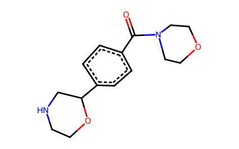 O=C(c1ccc(C2CNCCO2)cc1)N1CCOCC1